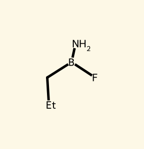 CCCB(N)F